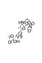 C[C@@H](/C=C\C(=O)NC1C[C@H](C)[C@H](C/C=C(/C=C/[C@H]2OC(C)(C)C[C@@]3(CO3)[C@@H]2O)C(F)(F)F)O[C@@H]1C)OC(=O)N1CCOCC1